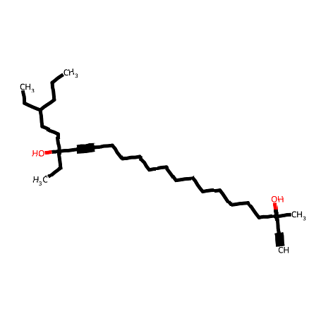 C#CC(C)(O)CCCCCCCCCCCCC#CC(O)(CC)CCC(CC)CCC